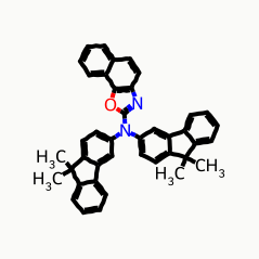 CC1(C)c2ccccc2-c2cc(N(c3ccc4c(c3)-c3ccccc3C4(C)C)c3nc4ccc5ccccc5c4o3)ccc21